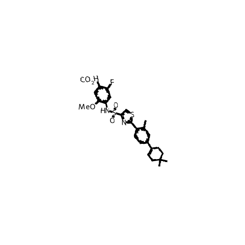 COc1cc(C(=O)O)c(F)cc1NS(=O)(=O)c1csc(-c2ccc(C3=CCC(C)(C)CC3)cc2C)n1